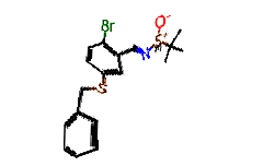 CC(C)(C)[S@+]([O-])N=Cc1cc(SCc2ccccc2)ccc1Br